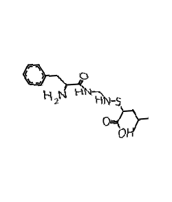 CC(C)CC(SNCNC(=O)C(N)Cc1ccccc1)C(=O)O